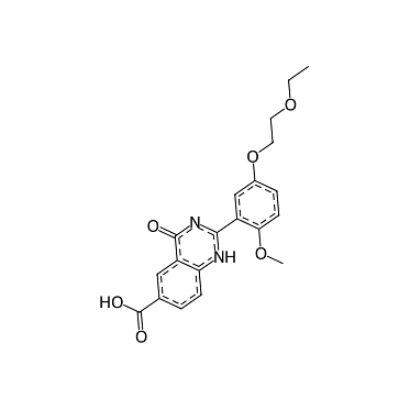 CCOCCOc1ccc(OC)c(-c2nc(=O)c3cc(C(=O)O)ccc3[nH]2)c1